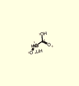 O=C(O)O.[LiH].[O]=[Nb]